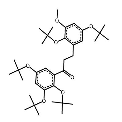 COc1cc(OC(C)(C)C)cc(CCC(=O)c2cc(OC(C)(C)C)cc(OC(C)(C)C)c2OC(C)(C)C)c1OC(C)(C)C